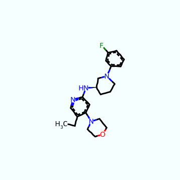 CCc1cnc(N[C@@H]2CCCN(c3cccc(F)c3)C2)cc1N1CCOCC1